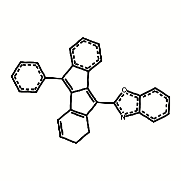 C1=CC2=C(CC1)C(c1nc3ccccc3o1)=C1C2=C(c2ccccc2)c2ccccc21